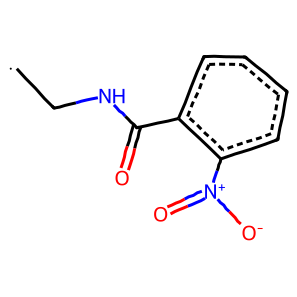 [CH2]CNC(=O)c1ccccc1[N+](=O)[O-]